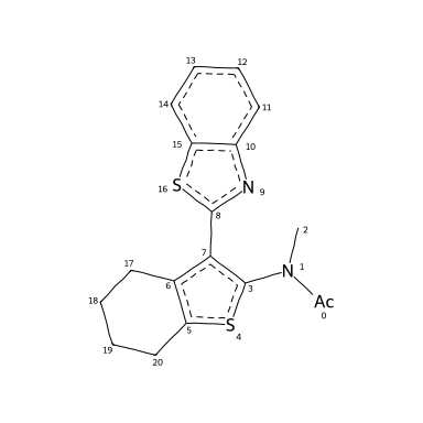 CC(=O)N(C)c1sc2c(c1-c1nc3ccccc3s1)CCCC2